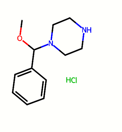 COC(c1ccccc1)N1CCNCC1.Cl